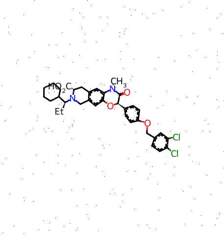 CC[C@@H](C1CCCCC1)N1Cc2cc3c(cc2C[C@H]1C(=O)O)N(C)C(=O)[C@@H](c1ccc(OCc2ccc(Cl)c(Cl)c2)cc1)O3